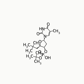 Cc1cn([C@H]2C[C@@H](OP(=O)(O)OC(C)(C)C)[C@@H](CC(C)(C)C)O2)c(=O)[nH]c1=O